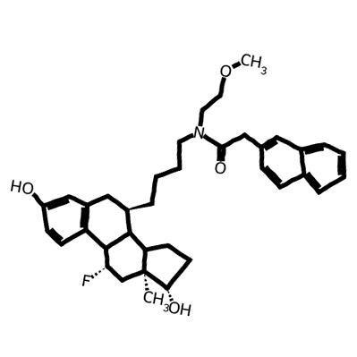 COCCN(CCCC[C@@H]1Cc2cc(O)ccc2C2C1C1CC[C@H](O)[C@@]1(C)C[C@@H]2F)C(=O)Cc1ccc2ccccc2c1